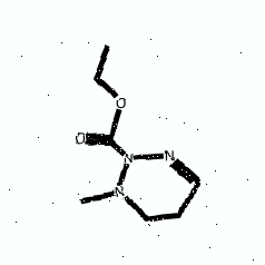 CCOC(=O)N1N=CCCN1C